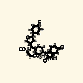 O=C(O)/C=C\C(=O)O.O=c1[nH]c2cc(Cl)ccc2n1C1CCN(CC2COC(c3ccc(F)cc3)C2)CC1